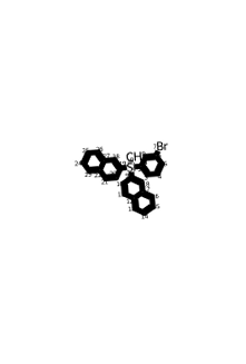 C[Si](c1cccc(Br)c1)(c1ccc2ccccc2c1)c1ccc2ccccc2c1